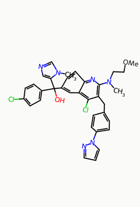 COCCN(C)c1nc2ccc(C(O)(c3ccc(Cl)cc3)c3cncn3C)cc2c(Cl)c1Cc1ccc(-n2cccn2)cc1